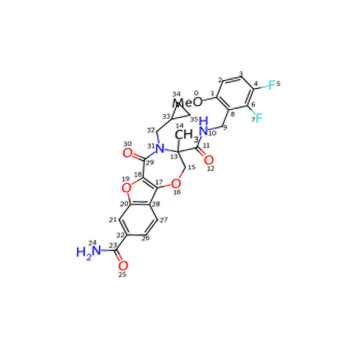 COc1ccc(F)c(F)c1CNC(=O)C1(C)COc2c(oc3cc(C(N)=O)ccc23)C(=O)N1CC1CC1